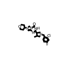 CC1CN(Cc2ccc(F)cc2Cl)CC1C1=NC2=CN(C3CCOCC3)CN2C(=O)N1